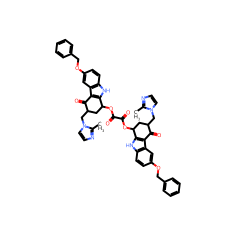 Cc1nccn1CC1CC(OC(=O)C(=O)OC2CC(Cn3ccnc3C)C(=O)c3c2[nH]c2ccc(OCc4ccccc4)cc32)c2[nH]c3ccc(OCc4ccccc4)cc3c2C1=O